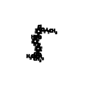 CCCCOc1cc(C(=O)Nc2cccc(CN3CCN(C(=O)OC(C)(C)C)CC3)c2)ccc1Cl